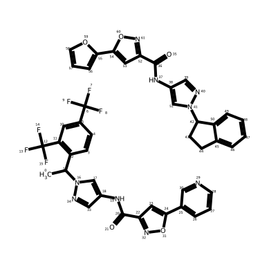 CC(c1ccc(C(F)(F)F)cc1C(F)(F)F)n1cc(NC(=O)c2cc(-c3cccnc3)on2)cn1.O=C(Nc1cnn(C2CCc3ccccc32)c1)c1cc(-c2ccco2)on1